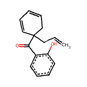 C=CCC1(C(=O)c2ccccc2O)C=CC=CC1